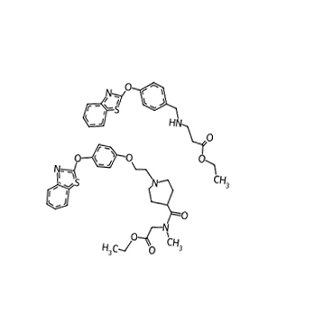 CCOC(=O)CCNCc1ccc(Oc2nc3ccccc3s2)cc1.CCOC(=O)CN(C)C(=O)C1CCN(CCOc2ccc(Oc3nc4ccccc4s3)cc2)CC1